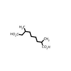 CC(CCCCC(C)C(=O)O)CC(=O)O